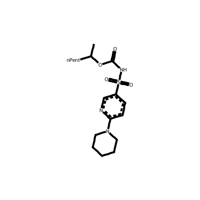 CCCCCC(C)OC(=O)NS(=O)(=O)c1ccc(N2CCCCC2)nc1